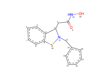 O=C(CC1c2ccccc2SN1Cc1ccccc1)NO